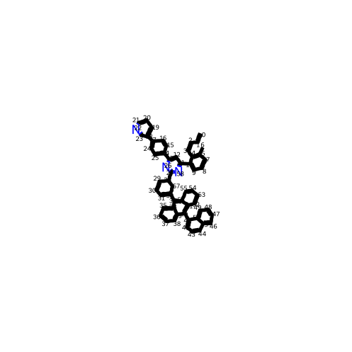 C=C/C=C\c1c(C)cccc1-c1cc(-c2ccc(-c3cccnc3)cc2)nc(C2C=CC=C(c3c4ccccc4c(-c4cccc5ccccc45)c4ccccc34)C2)n1